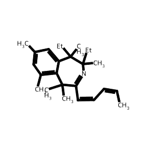 C/C=C\C=C/C1=NC(C)(CC)C(C)(CC)c2cc(C)cc(C)c2C1(C)C